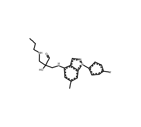 CCCNCC(O)(C=O)CNc1cc(C)cc2c1cnn2-c1ccc(F)cc1